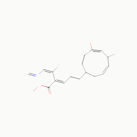 COC(=O)C(=C/CCC1C/C=C\C(F)/C=C(/O)CC1)/C(F)=C\N=[SiH2]